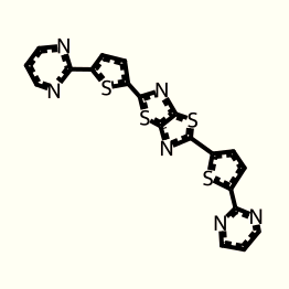 c1cnc(-c2ccc(-c3nc4sc(-c5ccc(-c6ncccn6)s5)nc4s3)s2)nc1